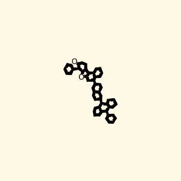 c1ccc(-c2c3ccccc3c(-c3ccc4cc(-c5cc6oc7c(ccc8oc9ccccc9c87)c6c6ccccc56)ccc4c3)c3ccccc23)cc1